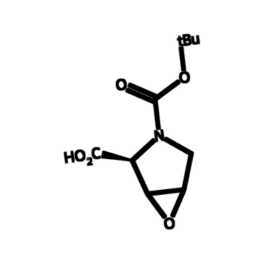 CC(C)(C)OC(=O)N1CC2OC2[C@H]1C(=O)O